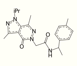 Cc1ccc(C(C)NC(=O)Cn2nc(C)c3c(c(C)nn3C(C)C)c2=O)cc1